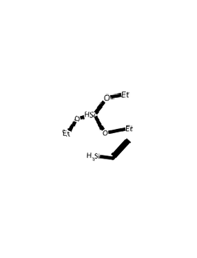 C=C[SiH3].CCO[SiH](OCC)OCC